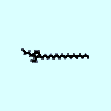 CCCCCCCCCCCCCCCCCN1C=CN(CCCC)C1CC